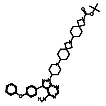 CC(C)(C)OC(=O)N1CC2(CCC(N3CC4(CCC(N5CCC(n6nc(-c7ccc(Oc8ccccc8)cc7)c7c(N)ncnc76)CC5)CC4)C3)CC2)C1